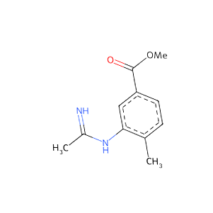 COC(=O)c1ccc(C)c(NC(C)=N)c1